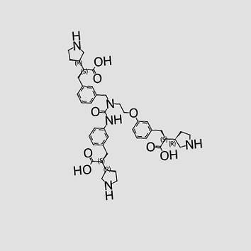 O=C(O)[C@@H](Cc1cccc(CN(CCOc2cccc(C[C@H](C(=O)O)[C@H]3CCNC3)c2)C(=O)Nc2cccc(C[C@H](C(=O)O)[C@H]3CCNC3)c2)c1)[C@H]1CCNC1